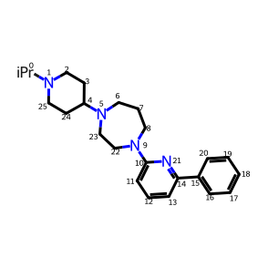 CC(C)N1CCC(N2CCCN(c3cccc(-c4ccccc4)n3)CC2)CC1